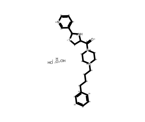 Cl.Cl.Cl.O=C(C1CSC(c2cccnc2)N1)N1CCN(CCCCc2ccccc2)CC1